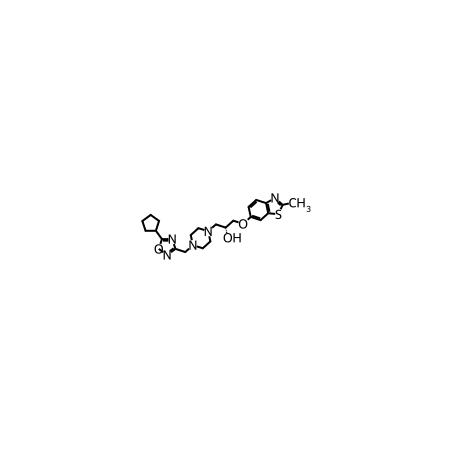 Cc1nc2ccc(OC[C@H](O)CN3CCN(Cc4noc(C5CCCC5)n4)CC3)cc2s1